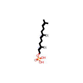 CC/C(=C\CC/C(=C/COP(=O)(O)O)CC)CCC=C(C)C